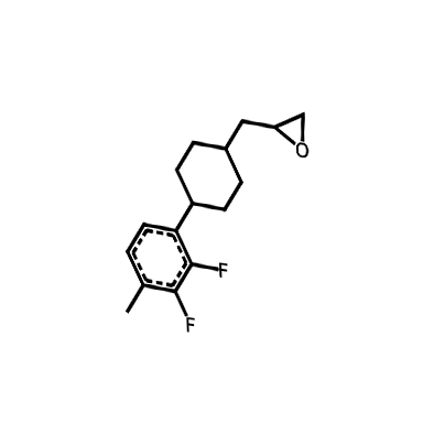 Cc1ccc(C2CCC(CC3CO3)CC2)c(F)c1F